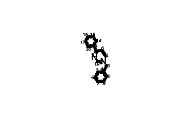 C1=CN(Cc2ccccc2)CN=C1c1ccccc1